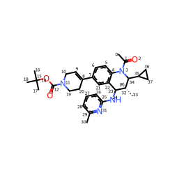 CC(=O)N1c2ccc(C3=CCN(C(=O)OC(C)(C)C)CC3)cc2C(Nc2cccc(C)n2)[C@@H](C)C1C1CC1